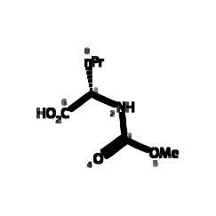 CCC[C@H](NC(=O)OC)C(=O)O